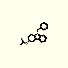 CC(=O)OC1CCc2c(c3ccccc3n2Cc2ccccc2)C1